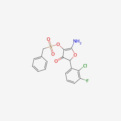 NC1=C(OS(=O)(=O)Cc2ccccc2)C(=O)C(c2cccc(F)c2Cl)O1